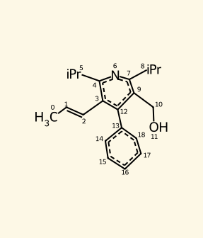 CC=Cc1c(C(C)C)nc(C(C)C)c(CO)c1-c1ccccc1